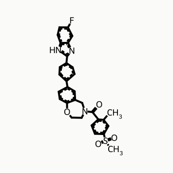 Cc1cc(S(C)(=O)=O)ccc1C(=O)N1CCOc2ccc(-c3ccc(-c4nc5cc(F)ccc5[nH]4)cc3)cc2C1